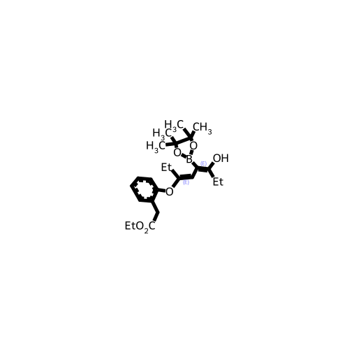 CCOC(=O)Cc1ccccc1O/C(=C/C(B1OC(C)(C)C(C)(C)O1)=C(/O)CC)CC